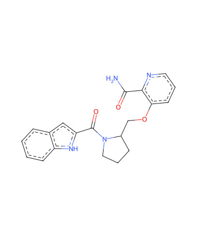 NC(=O)c1ncccc1OCC1CCCN1C(=O)c1cc2ccccc2[nH]1